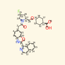 O=C(Cc1ccc2nc(-c3nccc4ccccc34)oc2c1)N1C[C@@H](F)C[C@H]1CO[C@H]1CC[C@H](C(=O)O)CC1